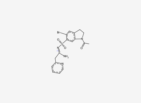 CC(=O)N1CCc2cc(Br)c(S(=O)(=O)/N=C(\N)Cc3ccccn3)cc21